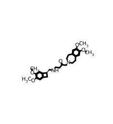 COc1cc2c(cc1OC)CCN(CC(=O)CCNC[C@H]1Cc3cc(OC)c(OC)cc31)CC2